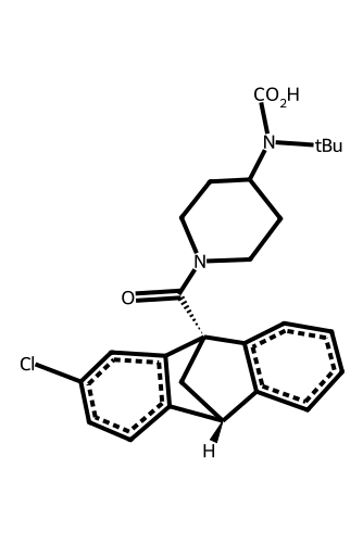 CC(C)(C)N(C(=O)O)C1CCN(C(=O)[C@@]23C[C@H](c4ccccc42)c2ccc(Cl)cc23)CC1